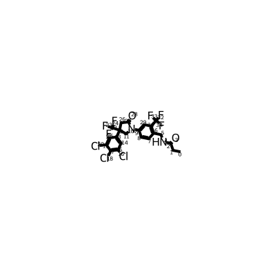 CCC(=O)NCc1ccc(N2CC(c3cc(Cl)c(Cl)c(Cl)c3)(C(F)(F)F)CC2=O)cc1C(F)(F)F